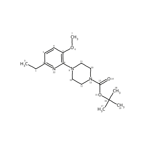 CCc1ccc(OC)c(N2CCN(C(=O)OC(C)(C)C)CC2)n1